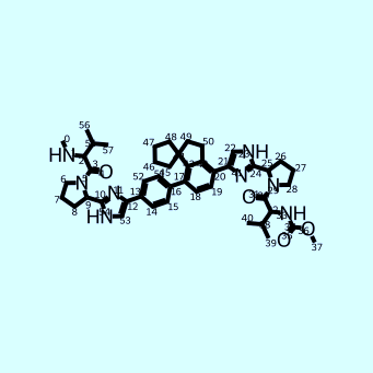 CNC(C(=O)N1CCCC1c1nc(-c2ccc(-c3ccc(-c4c[nH]c(C5CCCN5C(=O)C(NC(=O)OC)C(C)C)n4)c4c3C3(CCCC3)CC4)cc2)c[nH]1)C(C)C